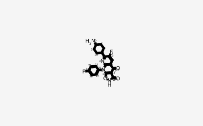 NC1CCC(c2nc3c(cc2F)c(=O)c2c(=O)[nH]oc2n3-c2ccc(F)cc2)CC1